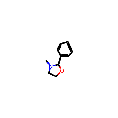 CN1CCOC1c1ccccc1